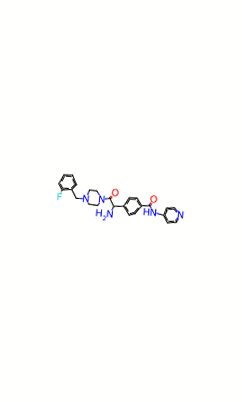 NC(C(=O)N1CCN(Cc2ccccc2F)CC1)c1ccc(C(=O)Nc2ccncc2)cc1